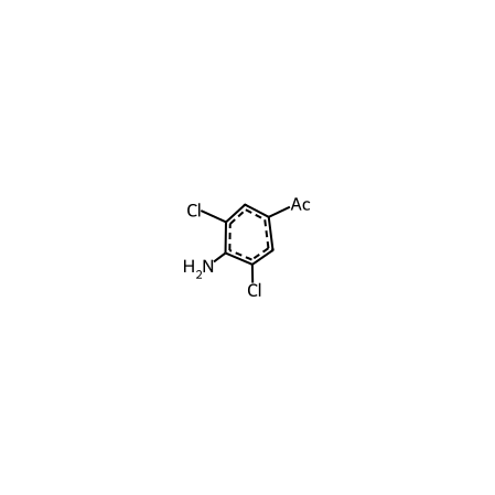 [CH2]C(=O)c1cc(Cl)c(N)c(Cl)c1